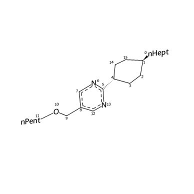 CCCCCCC[C@H]1CC[C@H](c2ncc(COCCCCC)cn2)CC1